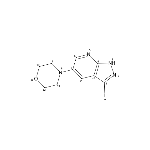 Ic1n[nH]c2ncc(N3CCOCC3)cc12